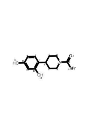 CCCC(=O)N1CCC(c2ccc(O)cc2O)CC1